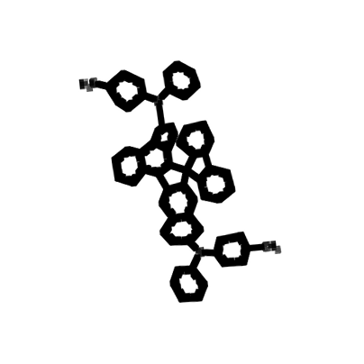 Cc1ccc(N(c2ccccc2)c2ccc3cc4c(cc3c2)C2(c3ccccc3-c3ccccc32)c2c-4c3ccccc3c3cc(N(c4ccccc4)c4ccc(C)cc4)ccc23)cc1